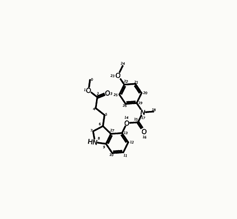 COC(=O)CCC1CNc2cccc(OC(=O)N(C)c3ccc(OC)cc3)c21